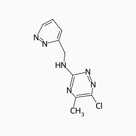 Cc1nc(NCc2cccnn2)nnc1Cl